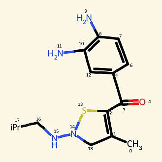 CC1=C(C(=O)c2ccc(N)c(N)c2)SN(NCC(C)C)C1